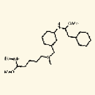 CCNC(CCCCN(C)CC1CCCC(NC(CC2CCCCC2)OC)C1)OC